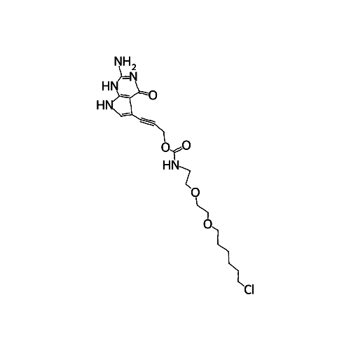 Nc1nc(=O)c2c(C#CCOC(=O)NCCOCCOCCCCCCCl)c[nH]c2[nH]1